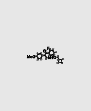 COc1ccc(-c2c[nH]c3c(OCC4CCC4)ccc(F)c3c2=O)cc1